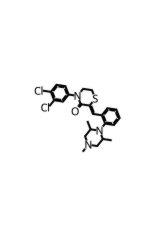 CC1CN(C)CC(C)N1c1ccccc1C=C1SCCN(c2ccc(Cl)c(Cl)c2)C1=O